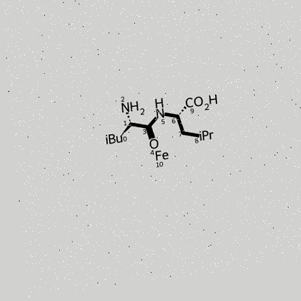 CC[C@H](C)[C@H](N)C(=O)N[C@@H](CC(C)C)C(=O)O.[Fe]